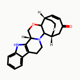 O=C1/C=C\[C@@H]2CCC[C@H](C1)C1C2OC[C@H]2c3[nH]c4ccccc4c3CCN12